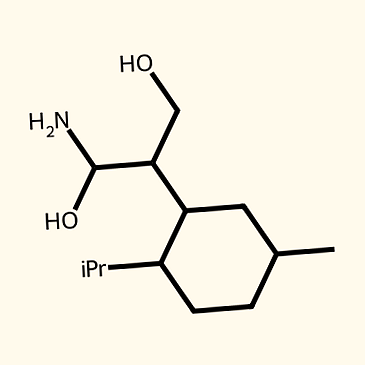 CC1CCC(C(C)C)C(C(CO)C(N)O)C1